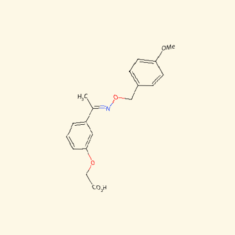 COc1ccc(CO/N=C(\C)c2cccc(OCC(=O)O)c2)cc1